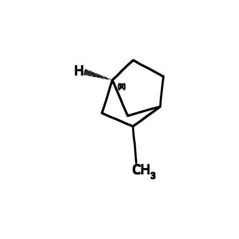 CC1C[C@H]2CCC1C2